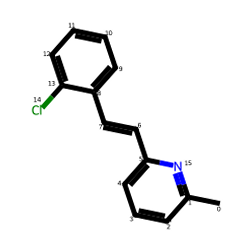 Cc1[c]ccc(/C=C/c2ccccc2Cl)n1